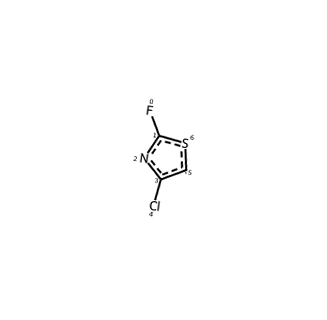 Fc1nc(Cl)[c]s1